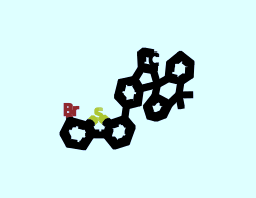 CC1(C)c2ccccc2C2(c3ccccc3-c3ccc(-c4cccc5c4sc4c(Br)cccc45)cc32)c2ccccc21